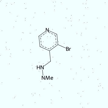 CNNCc1ccncc1Br